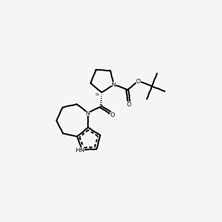 CC(C)(C)OC(=O)N1CCC[C@H]1C(=O)N1CCCCc2[nH]ccc21